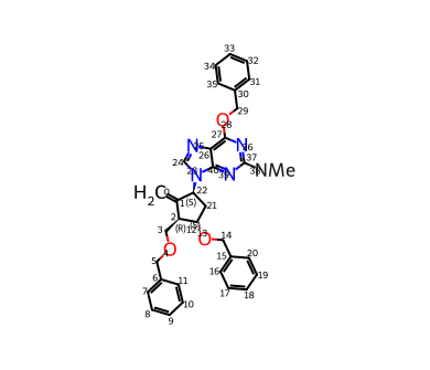 C=C1[C@H](COCc2ccccc2)[C@@H](OCc2ccccc2)C[C@@H]1n1cnc2c(OCc3ccccc3)nc(NC)nc21